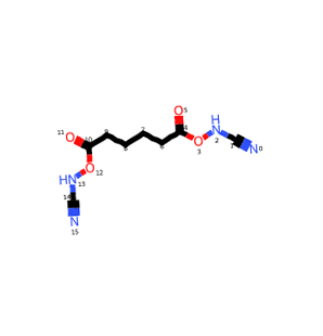 N#CNOC(=O)CCCCC(=O)ONC#N